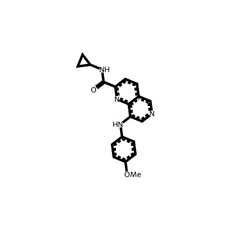 COc1ccc(Nc2cncc3ccc(C(=O)NC4CC4)nc23)cc1